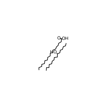 CCCCCCCCCC(O)CCCCCC.CCCCCCCCCCCCCCCCCC(=O)O